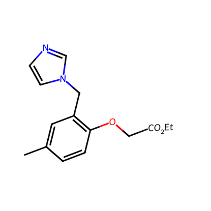 CCOC(=O)COc1ccc(C)cc1Cn1ccnc1